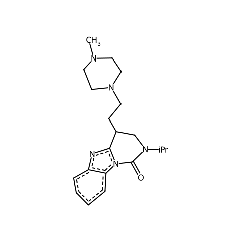 CC(C)N1CC(CCN2CCN(C)CC2)c2nc3ccccc3n2C1=O